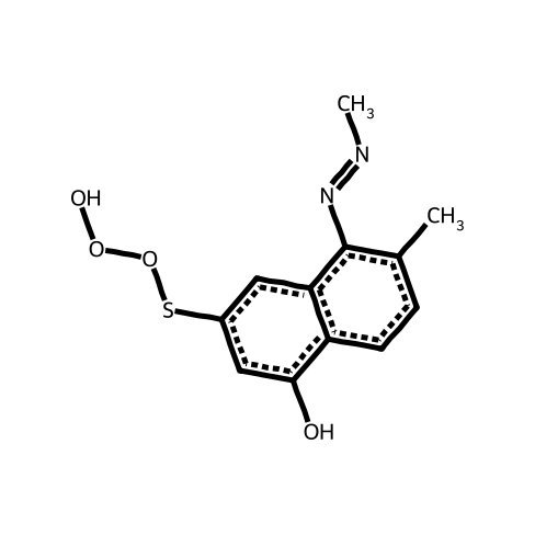 CN=Nc1c(C)ccc2c(O)cc(SOOO)cc12